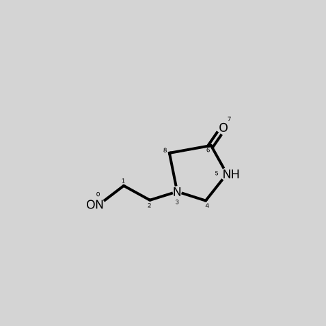 O=NCCN1CNC(=O)C1